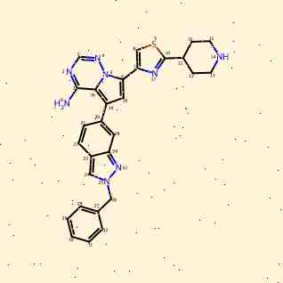 Nc1ncnn2c(-c3csc(C4CCNCC4)n3)cc(-c3ccc4cn(Cc5ccccc5)nc4c3)c12